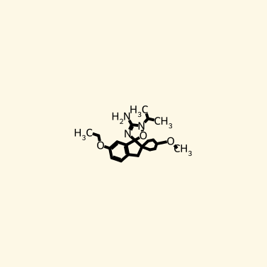 CCOc1ccc2c(c1)C1(N=C(N)N(C(C)C)O1)C1(CCC(OC)CC1)C2